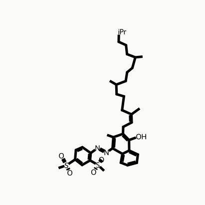 CC(=CCc1c(C)c(N=Nc2ccc(S(C)(=O)=O)cc2S(C)(=O)=O)c2ccccc2c1O)CCCC(C)CCCC(C)CCCC(C)C